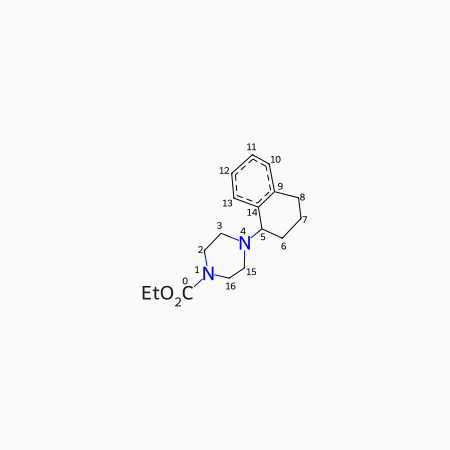 CCOC(=O)N1CCN(C2CCCc3ccccc32)CC1